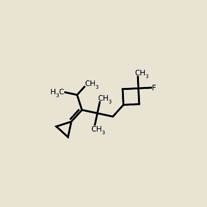 CC(C)C(=C1CC1)C(C)(C)CC1CC(C)(F)C1